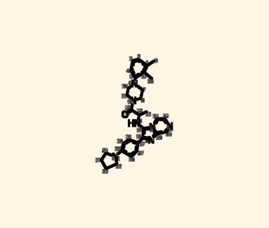 Cc1cccc(N2CCN(C(=O)C(C)Nc3c(-c4ccc(N5CCCC5)cc4)nc4cnccn34)CC2)c1C